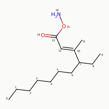 CCCCCCCC(CC)C(C)=CC(=O)ON